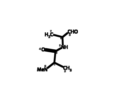 CNC(C)C(=O)NC(C)C=O